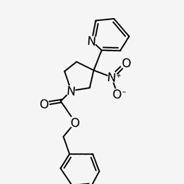 O=C(OCc1ccccc1)N1CCC(c2ccccn2)([N+](=O)[O-])C1